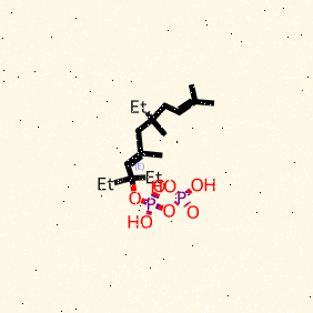 CCC(C)(CC=C(C)C)C/C(C)=C/C(CC)(CC)OP(=O)(O)OP(=O)(O)O